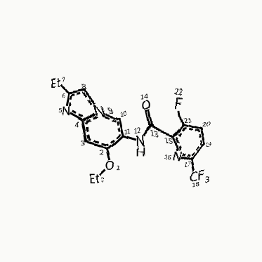 CCOc1cc2nc(CC)cn2cc1NC(=O)c1nc(C(F)(F)F)ccc1F